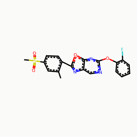 Cc1cc(S(C)(=O)=O)ccc1-c1nc2cnc(Oc3ccccc3F)nc2o1